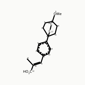 COC12CCC(c3ccc(C=C(C)C(=O)O)cc3)(CC1)CC2